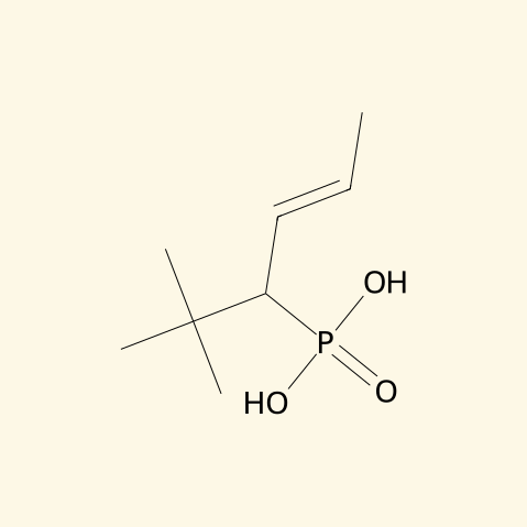 CC=CC(C(C)(C)C)P(=O)(O)O